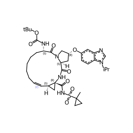 CC(C)n1cnc2cc(O[C@@H]3C[C@H]4C(=O)N[C@]5(C(=O)NS(=O)(=O)C6(C)CC6)C[C@H]5/C=C\CCCCC[C@H](NC(=O)OC(C)(C)C)C(=O)N4C3)ccc21